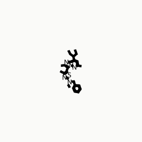 CCC(CC)c1cc(C)nn2c(-c3sc(N(CC)Cc4ccccc4)nc3C)c(C)nc12